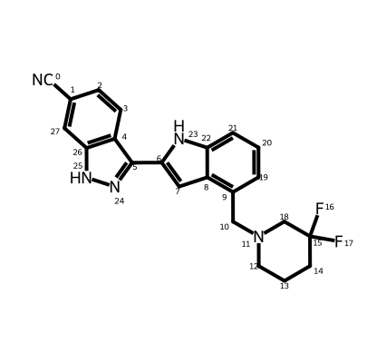 N#Cc1ccc2c(-c3cc4c(CN5CCCC(F)(F)C5)cccc4[nH]3)n[nH]c2c1